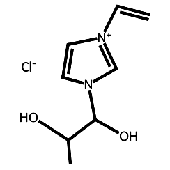 C=C[n+]1ccn(C(O)C(C)O)c1.[Cl-]